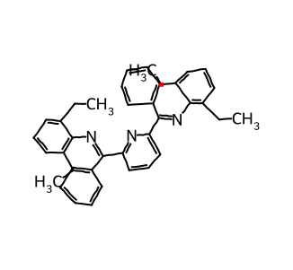 CCc1cccc(CC)c1/N=C(\c1ccccc1)c1cccc(/C(=N/c2c(CC)cccc2CC)c2ccccc2)n1